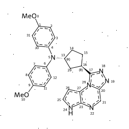 COc1ccc(N(c2ccc(OC)cc2)[C@@H]2CC[C@@H](c3nnc4cnc5[nH]ccc5n34)C2)cc1